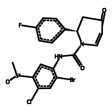 C[S+]([O-])c1cc(NC(=O)N2C=CC(=O)C[C@H]2c2ccc(F)cc2)c(Br)cc1Cl